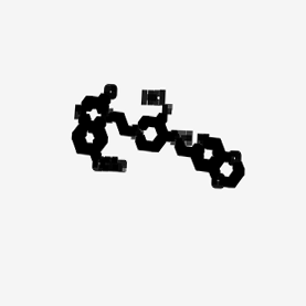 COc1ccc2ncc(=O)n(CCN3CCC(NCc4cc5c(cn4)OCCO5)C(F)C3)c2c1.Cl